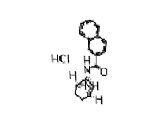 Cl.O=C(N[C@@H]1C[C@H]2CC[C@@H]1N2)c1ccc2ccccc2c1